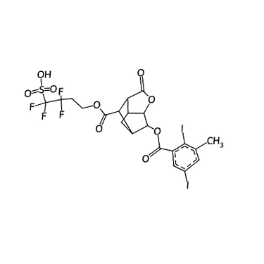 Cc1cc(I)cc(C(=O)OC2C3CC4C2OC(=O)C4C3C(=O)OCCC(F)(F)C(F)(F)S(=O)(=O)O)c1I